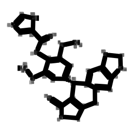 COc1cc([C@H]2C3=C(COC3=O)Cc3cc4c(cc32)OCO4)cc(OC)c1OC(=O)c1cnc[nH]1